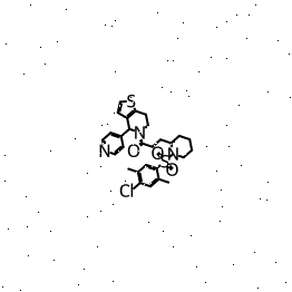 Cc1cc(S(=O)(=O)N2CCCCC2CCC(=O)N2CCc3sccc3C2c2ccncc2)c(C)cc1Cl